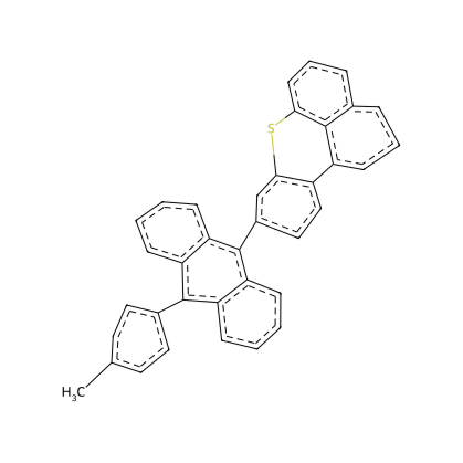 Cc1ccc(-c2c3ccccc3c(-c3ccc4c(c3)Sc3cccc5cccc-4c35)c3ccccc23)cc1